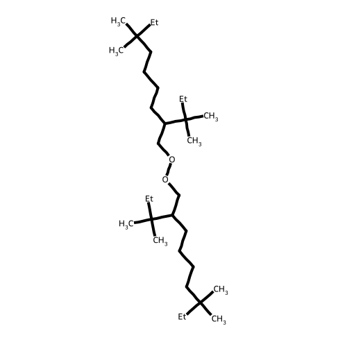 CCC(C)(C)CCCCC(COOCC(CCCCC(C)(C)CC)C(C)(C)CC)C(C)(C)CC